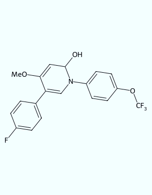 COC1=CC(O)N(c2ccc(OC(F)(F)F)cc2)C=C1c1ccc(F)cc1